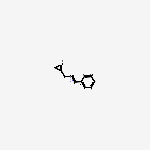 C(=N\CC1CO1)/c1ccccc1